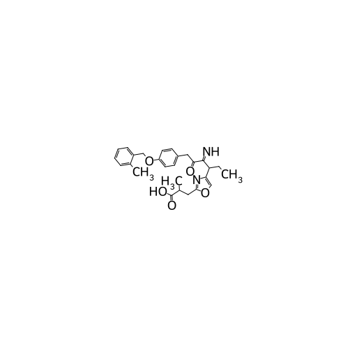 CCC(C(=N)C(=O)Cc1ccc(OCc2ccccc2C)cc1)c1coc(CC(C)C(=O)O)n1